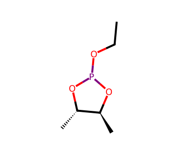 CCOP1O[C@@H](C)[C@H](C)O1